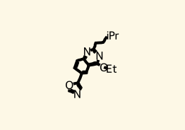 CCOc1nc(CCC(C)C)nc2ccc(-c3cnco3)cc12